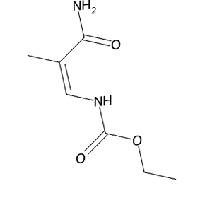 CCOC(=O)NC=C(C)C(N)=O